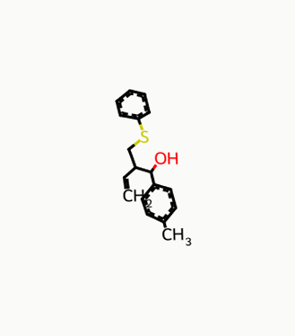 C=CC(CSc1ccccc1)C(O)c1ccc(C)cc1